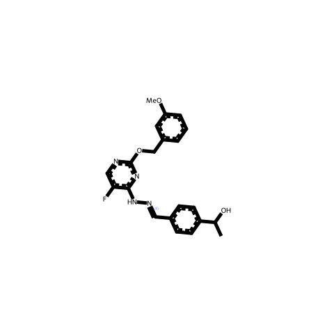 COc1cccc(COc2ncc(F)c(N/N=C/c3ccc(C(C)O)cc3)n2)c1